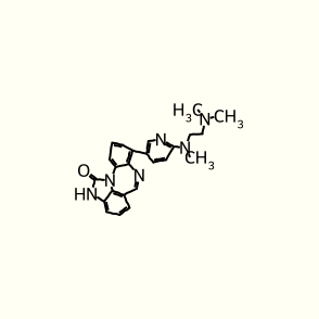 CN(C)CCN(C)c1ccc(-c2cccc3c2N=Cc2cccc4[nH]c(=O)n-3c24)cn1